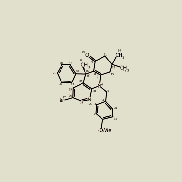 COc1ccc(CN2C3=C(C(=O)CC(C)(C)C3)[C@@](C)(c3ccccc3)c3cc(Br)cnc32)cc1